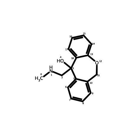 CNCC1(O)c2ccccc2COc2ccccc21